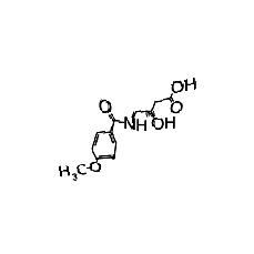 COc1ccc(C(=O)NC[C@H](O)CC(=O)O)cc1